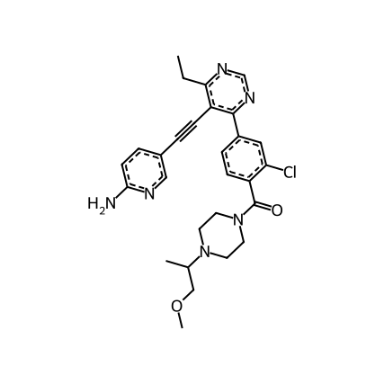 CCc1ncnc(-c2ccc(C(=O)N3CCN(C(C)COC)CC3)c(Cl)c2)c1C#Cc1ccc(N)nc1